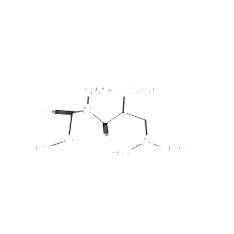 CCCCCC(CN(O)C=O)C(=O)N(NC)C(=O)OC(C)(C)C